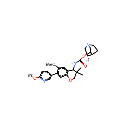 COc1cc2c(cc1-c1ccc(OC(C)C)nc1)OCC(C)(C)C2NC(=O)O[C@H]1CN2CCC1CC2